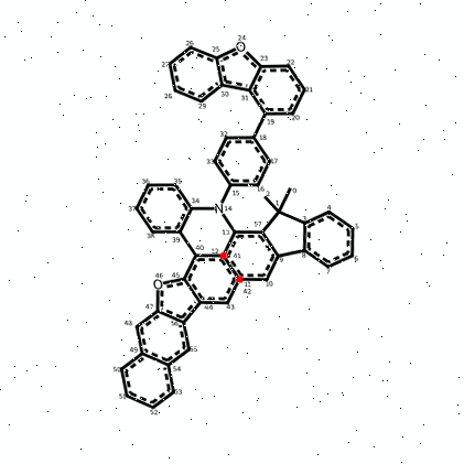 CC1(C)c2ccccc2-c2cccc(N(c3ccc(-c4cccc5oc6ccccc6c45)cc3)c3ccccc3-c3cccc4c3oc3cc5ccccc5cc34)c21